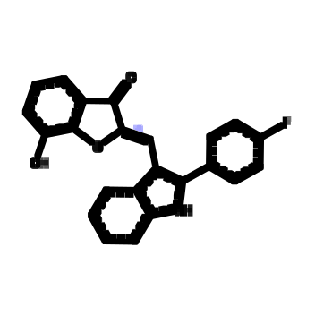 O=C1/C(=C/c2c(-c3ccc(F)cc3)[nH]c3ccccc23)Oc2c(O)cccc21